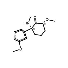 CN[C@@]1(c2cccc(OC)c2)CCC[C@@H](OC)C1=O